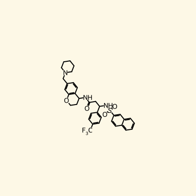 O=C(CC(NS(=O)(=O)c1ccc2ccccc2c1)c1ccc(C(F)(F)F)cc1)NC1CCOc2cc(CN3CCCCC3)ccc21